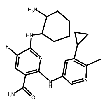 Cc1ncc(Nc2nc(NC3CCCCC3N)c(F)cc2C(N)=O)cc1C1CC1